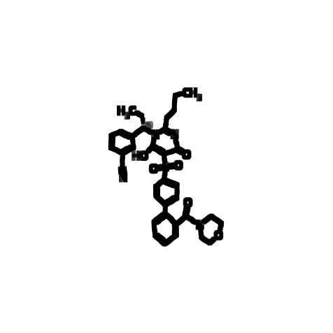 CCCCc1nc(=O)c(S(=O)(=O)c2ccc(-c3ccccc3C(=O)N3CCOCC3)cc2)c(O)n1[C@@H](CC)c1cccc(C#N)c1